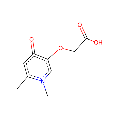 Cc1cc(=O)c(OCC(=O)O)cn1C